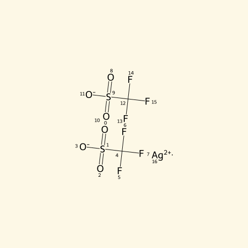 O=S(=O)([O-])C(F)(F)F.O=S(=O)([O-])C(F)(F)F.[Ag+2]